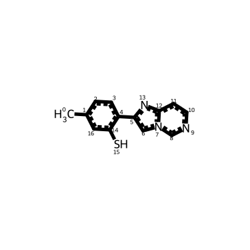 Cc1ccc(-c2cn3cnccc3n2)c(S)c1